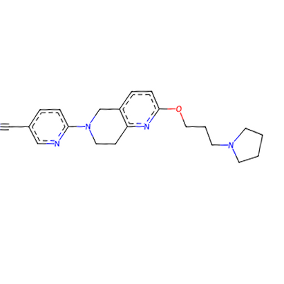 N#Cc1ccc(N2CCc3nc(OCCCN4CCCC4)ccc3C2)nc1